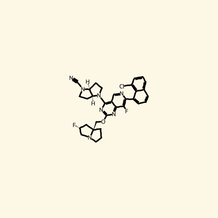 N#CN1CC[C@H]2[C@@H]1CCN2c1nc(OC[C@@]23CCCN2C[C@H](F)C3)nc2c(F)c(-c3cccc4cccc(Cl)c34)ncc12